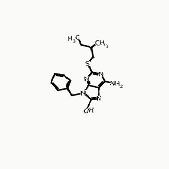 CCC(C)CSc1nc(N)c2nc(O)n(Cc3ccccc3)c2n1